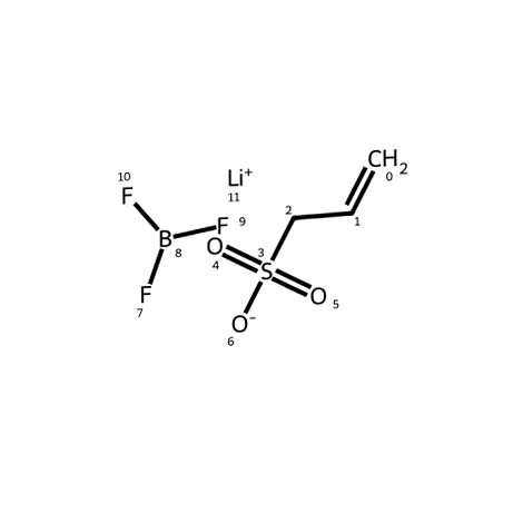 C=CCS(=O)(=O)[O-].FB(F)F.[Li+]